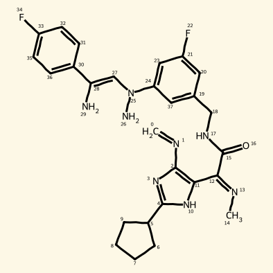 C=Nc1nc(C2CCCC2)[nH]c1/C(=N\C)C(=O)NCc1cc(F)cc(N(N)/C=C(\N)c2ccc(F)cc2)c1